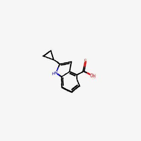 O=C(O)c1cccc2[nH]c(C3CC3)cc12